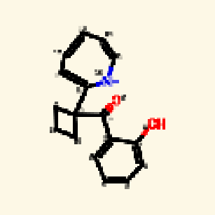 O=C(c1ccccc1O)C1(C2=CC=CC=CN2)CCC1